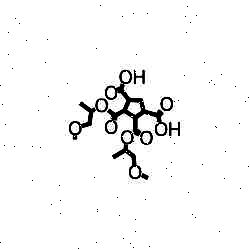 COCC(C)OC(=O)C1C(C(=O)O)CC(C(=O)O)C1C(=O)OC(C)COC